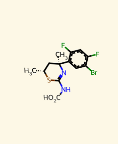 C[C@@H]1C[C@@](C)(c2cc(Br)c(F)cc2F)N=C(NC(=O)O)S1